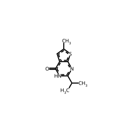 Cc1cc2c(=O)[nH]c(C(C)C)nc2s1